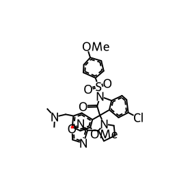 COc1ccc(S(=O)(=O)N2C(=O)C(c3cc(CN(C)C)ccc3OC)(N3CCCC3c3ncon3)c3cc(Cl)ccc32)cc1